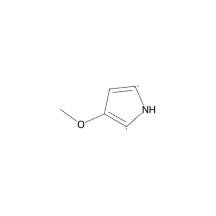 COc1[c][nH][c]c1